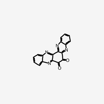 O=C1C(=O)c2nc3ccccc3nc2-c2nc3ccccc3nc21